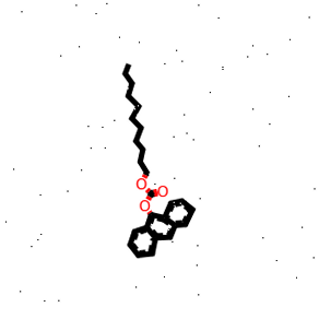 CCCCCCCCCCCOC(=O)Oc1c2ccccc2cc2ccccc12